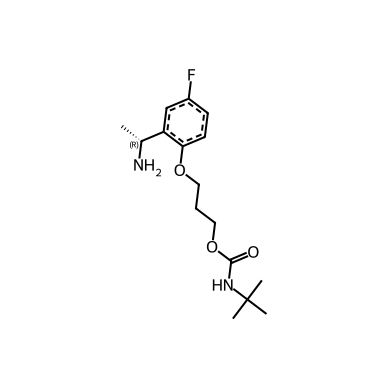 C[C@@H](N)c1cc(F)ccc1OCCCOC(=O)NC(C)(C)C